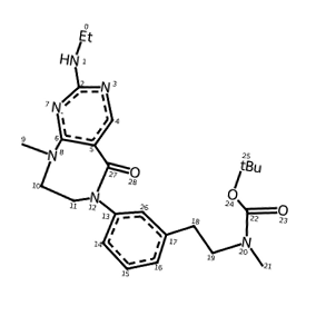 CCNc1ncc2c(n1)N(C)CCN(c1cccc(CCN(C)C(=O)OC(C)(C)C)c1)C2=O